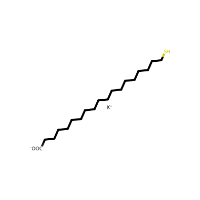 O=C([O-])CCCCCCCCCCCCCCCCCCS.[K+]